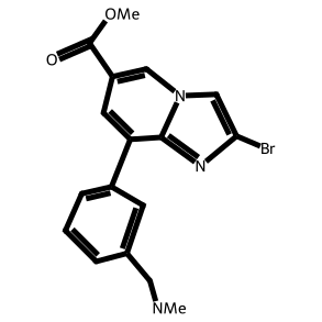 CNCc1cccc(-c2cc(C(=O)OC)cn3cc(Br)nc23)c1